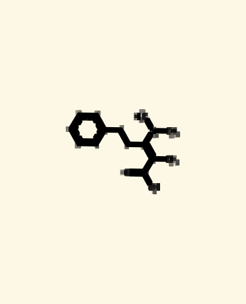 CC(C(=O)O)=C(CCc1ccccc1)N(C)C